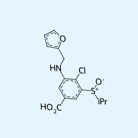 CC(C)[S+]([O-])c1cc(C(=O)O)cc(NCc2ccco2)c1Cl